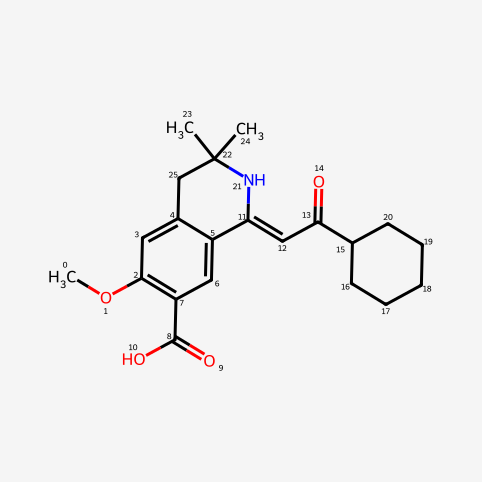 COc1cc2c(cc1C(=O)O)C(=CC(=O)C1CCCCC1)NC(C)(C)C2